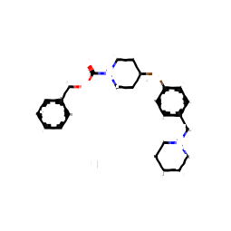 Cl.O=C(OCc1ccccc1)N1CCC(Sc2ccc(CN3CCCCC3)cc2)CC1